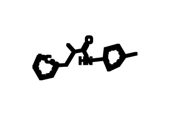 Cc1ccc(NC(=O)C(C)Cc2ccccc2)cc1